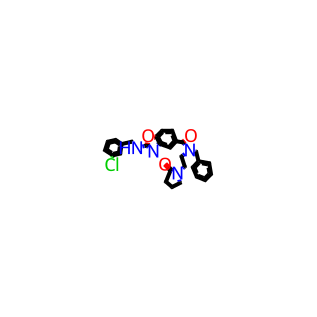 O=C1CCCN1CCN(Cc1ccccc1)C(=O)c1ccc2oc(NCc3cccc(Cl)c3)nc2c1